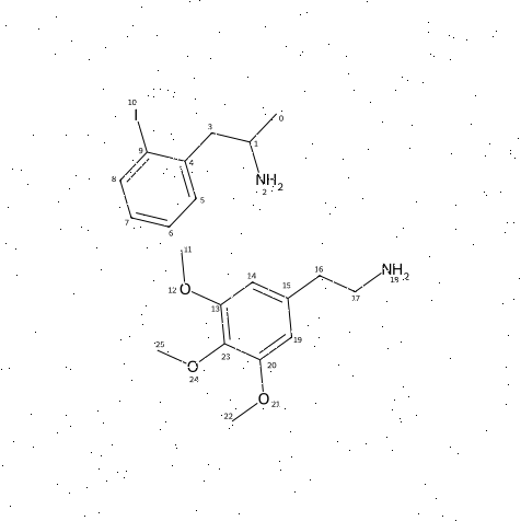 CC(N)Cc1ccccc1I.COc1cc(CCN)cc(OC)c1OC